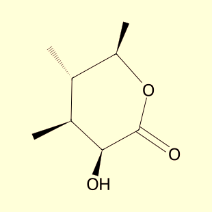 C[C@H]1[C@H](C)[C@@H](C)OC(=O)[C@H]1O